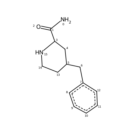 NC(=O)C1CC(Cc2ccccc2)CCN1